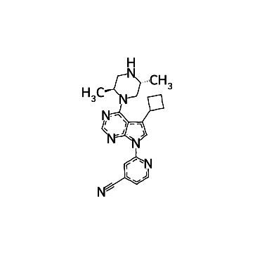 C[C@@H]1CN(c2ncnc3c2c(C2CCC2)cn3-c2cc(C#N)ccn2)[C@@H](C)CN1